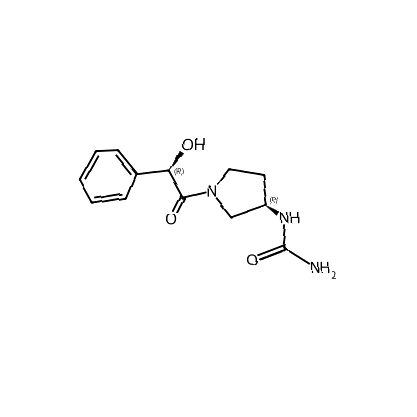 NC(=O)N[C@@H]1CCN(C(=O)[C@H](O)c2ccccc2)C1